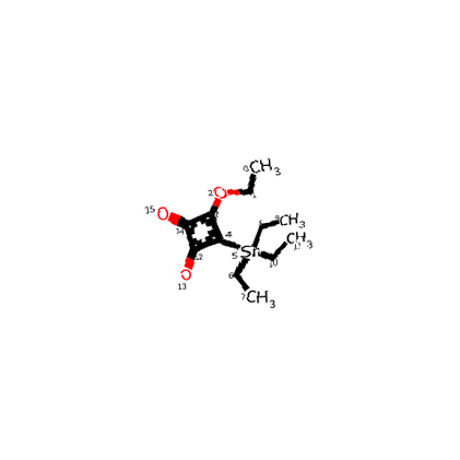 CCOc1[c]([Sn]([CH2]C)([CH2]C)[CH2]C)c(=O)c1=O